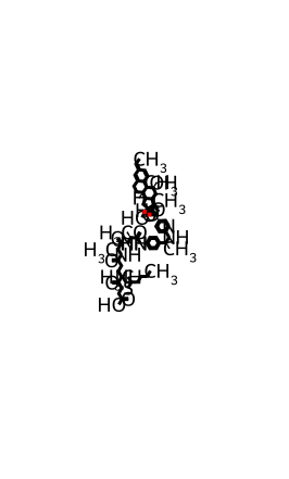 C/C=C1\C=C[C@@]2(C)C(=C1)CC[C@@H]1C2[C@@H](O)C[C@@]2(C)C1C[C@H]1O[C@@H](c3ccc(N[C@@H](C)c4ccc(NC(=O)[C@H](C)NC(=O)[C@H](C)NC(=O)CCNC(=O)C(CC(=O)O)SC(C)CCCC)cc4)nc3)O[C@]12C(=O)CO